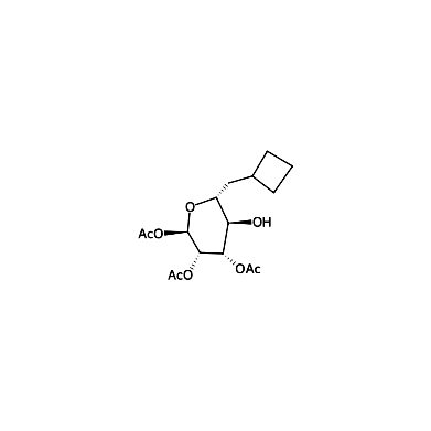 CC(=O)O[C@H]1O[C@H](CC2CCC2)[C@@H](O)[C@H](OC(C)=O)[C@@H]1OC(C)=O